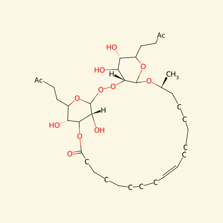 CC(=O)CCC1OC2OO[C@H]3C(OC(CCC(C)=O)[C@@H](O)C3O)O[C@@H](C)CCCCCC/C=C\CCCCCCCC(=O)OC([C@@H]1O)[C@H]2O